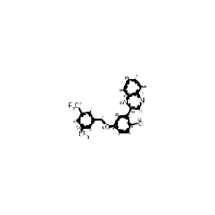 FC(F)(F)c1cc(COc2ccc(Cl)c(-c3cnc4ccccc4n3)c2)cc(C(F)(F)F)c1